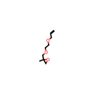 C=CCOCCOCC1(C)CO1